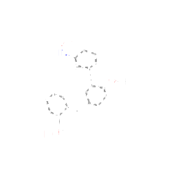 COc1ccc(Cc2ccccc2CO)cc1-c1cccc(NO)c1